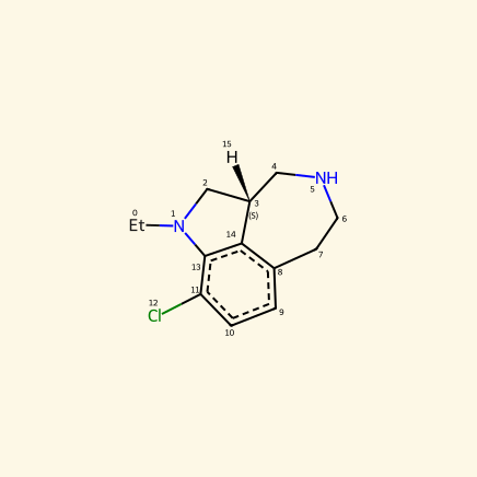 CCN1C[C@@H]2CNCCc3ccc(Cl)c1c32